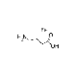 NCCCC(=O)O.[Fe]